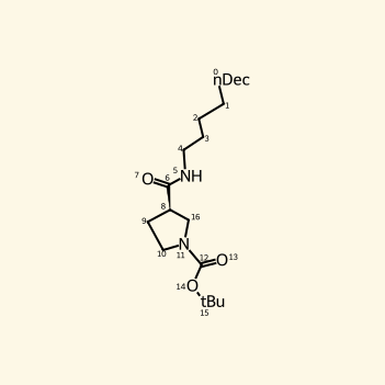 CCCCCCCCCCCCCCNC(=O)[C@@H]1CCN(C(=O)OC(C)(C)C)C1